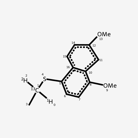 [1H][13C]([2H])(C)Sc1ccc(OC)c2cc(OC)ccc12